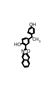 CC(c1ccc(O)cc1)c1ccc(O)c(-c2nc3cc4ccccc4cc3o2)c1